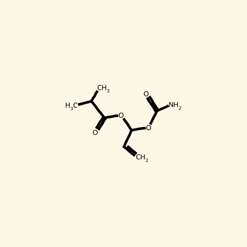 C=CC(OC(N)=O)OC(=O)C(C)C